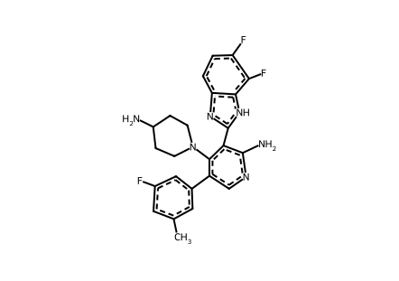 Cc1cc(F)cc(-c2cnc(N)c(-c3nc4ccc(F)c(F)c4[nH]3)c2N2CCC(N)CC2)c1